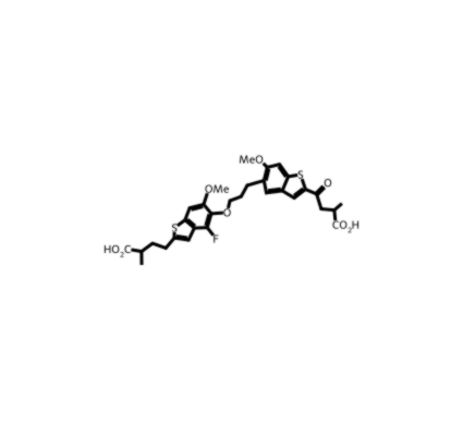 COc1cc2sc(C(=O)CC(C)C(=O)O)cc2cc1CCCOc1c(OC)cc2sc(CCC(C)C(=O)O)cc2c1F